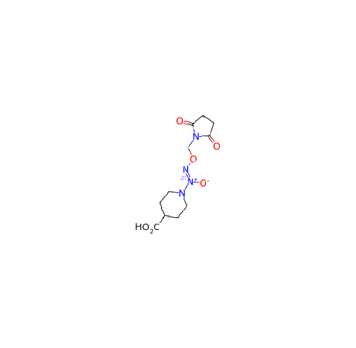 O=C(O)C1CCN(/[N+]([O-])=N/OCN2C(=O)CCC2=O)CC1